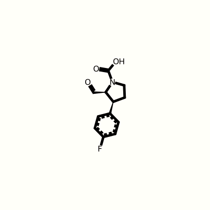 O=C[C@@H]1[C@H](c2ccc(F)cc2)CCN1C(=O)O